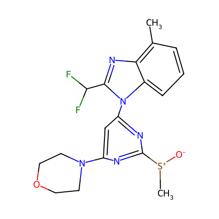 Cc1cccc2c1nc(C(F)F)n2-c1cc(N2CCOCC2)nc([S+](C)[O-])n1